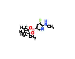 CNc1ncc(B2OC(C)(C)C(C)(C)O2)cc1F